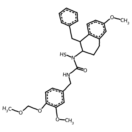 COCOc1ccc(CNC(=O)N(S)C2CCc3cc(OC)ccc3C2Cc2ccccc2)cc1OC